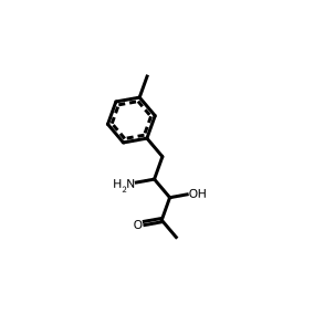 CC(=O)C(O)C(N)Cc1cccc(C)c1